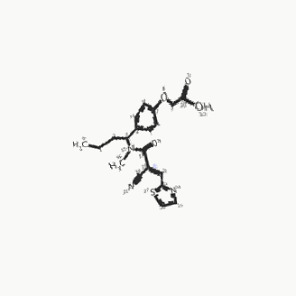 CCCC(c1ccc(OCC(=O)O)cc1)N(C)C(=O)/C(C#N)=C/c1nccs1